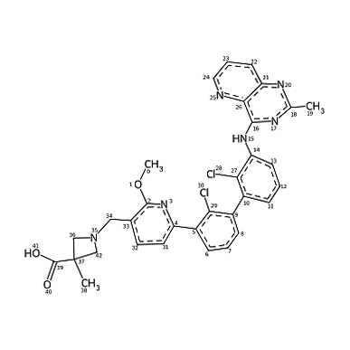 COc1nc(-c2cccc(-c3cccc(Nc4nc(C)nc5cccnc45)c3Cl)c2Cl)ccc1CN1CC(C)(C(=O)O)C1